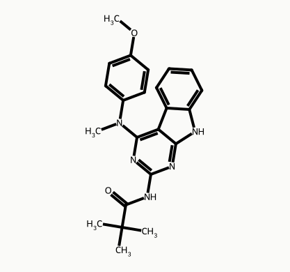 COc1ccc(N(C)c2nc(NC(=O)C(C)(C)C)nc3[nH]c4ccccc4c23)cc1